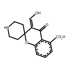 O=C(O)c1cccc2c1C(=O)C(=CO)C1(CCNCC1)O2